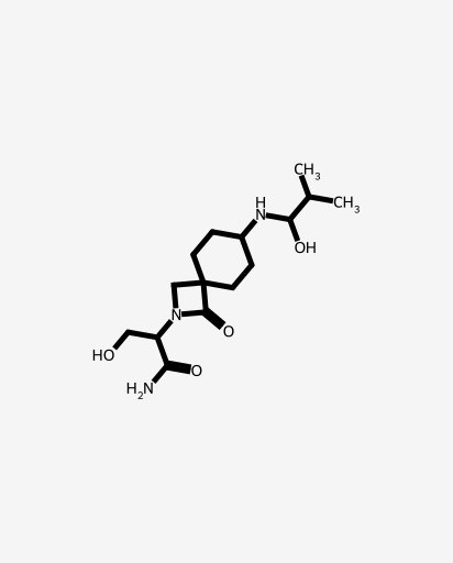 CC(C)C(O)NC1CCC2(CC1)CN(C(CO)C(N)=O)C2=O